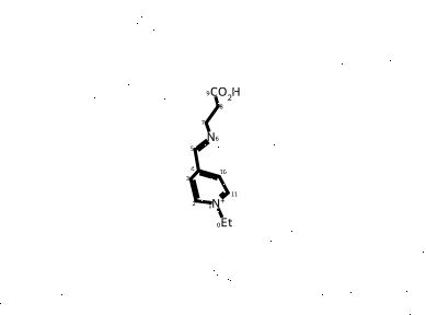 CC[n+]1ccc(C=NCCC(=O)O)cc1